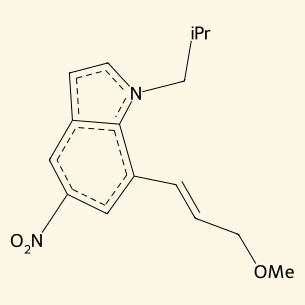 COCC=Cc1cc([N+](=O)[O-])cc2ccn(CC(C)C)c12